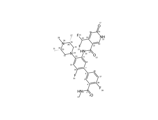 CNC(=O)c1cc(-c2cc(NC(=O)c3c[nH]c(=O)cc3C(F)F)c(N3C[C@@H](C)N(C)[C@@H](C)C3)cc2F)ccc1F